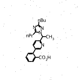 CCCCc1nc(CCC)n(C(C)c2ccc(-c3ccccc3C(=O)O)cn2)n1